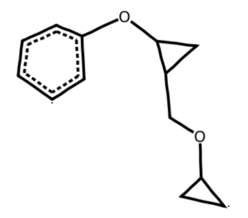 [c]1cccc(OC2CC2COC2[CH]C2)c1